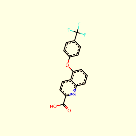 O=C(O)c1ccc2c(Oc3ccc(C(F)(F)F)cc3)cccc2n1